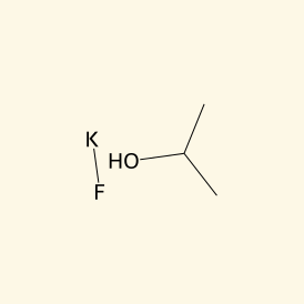 CC(C)O.[F][K]